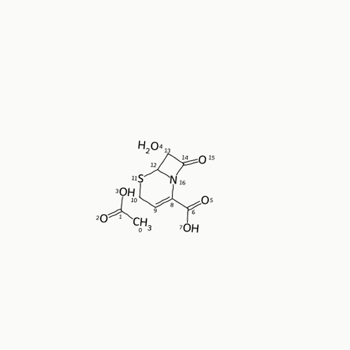 CC(=O)O.O.O=C(O)C1=CCSC2CC(=O)N12